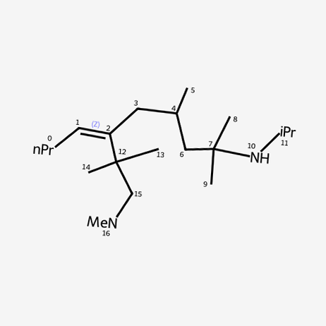 CCC/C=C(/CC(C)CC(C)(C)NC(C)C)C(C)(C)CNC